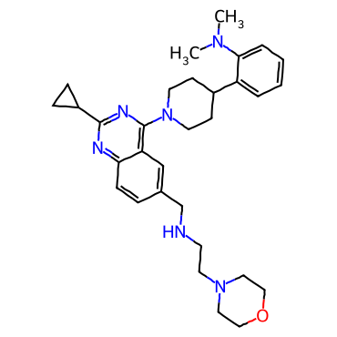 CN(C)c1ccccc1C1CCN(c2nc(C3CC3)nc3ccc(CNCCN4CCOCC4)cc23)CC1